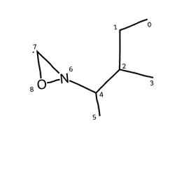 CCC(C)C(C)N1[CH]O1